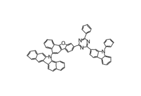 c1ccc(-c2nc(-c3ccc4c(c3)oc3c5ccccc5c(-n5c6cc7ccccc7cc6c6ccc7ccccc7c65)cc43)nc(-c3ccc4c5ccccc5n(-c5ccccc5)c4c3)n2)cc1